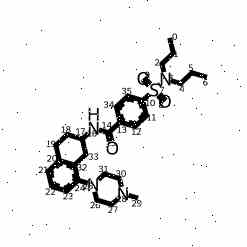 CCCN(CCC)S(=O)(=O)c1ccc(C(=O)NC2CCc3cccc(N4CCN(C)CC4)c3C2)cc1